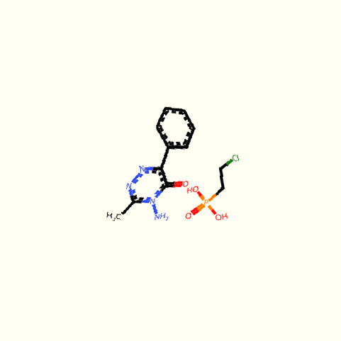 Cc1nnc(-c2ccccc2)c(=O)n1N.O=P(O)(O)CCCl